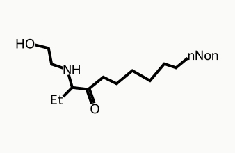 CCCCCCCCCCCCCCCC(=O)C(CC)NCCO